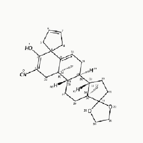 [C-]#[N+]C1=C(O)C2(CC=CC2)C2=CC[C@@H]3[C@H](CC[C@@]4(C)[C@H]3CCC43OCCO3)[C@@]2(C)C1